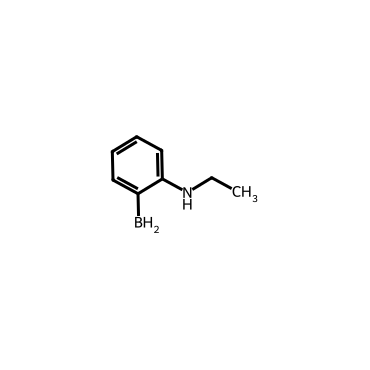 Bc1ccccc1NCC